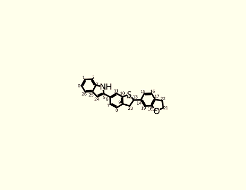 c1ccc2[nH]c(-c3ccc4c(c3)SC(c3ccc5c(c3)OCC5)C4)cc2c1